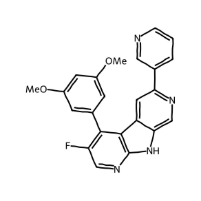 COc1cc(OC)cc(-c2c(F)cnc3[nH]c4cnc(-c5cccnc5)cc4c23)c1